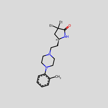 CCC1(CC)C[C@H](CCN2CCN(c3ccccc3C)CC2)NC1=O